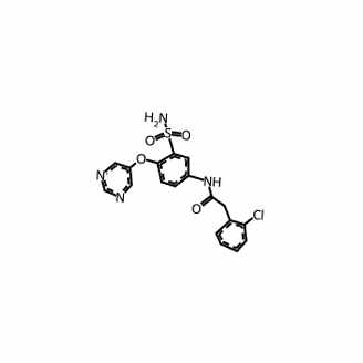 NS(=O)(=O)c1cc(NC(=O)Cc2ccccc2Cl)ccc1Oc1cncnc1